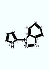 c1c[nH]c(-n2nnc3ccccc32)c1